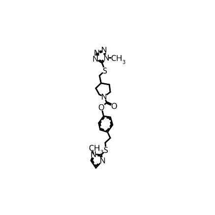 Cn1ccnc1SCCc1ccc(OC(=O)N2CCC(CSc3nnnn3C)CC2)cc1